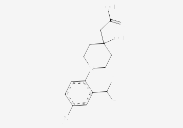 Nc1ccc(N2CCC(O)(CC(=O)O)CC2)c(C(F)F)c1